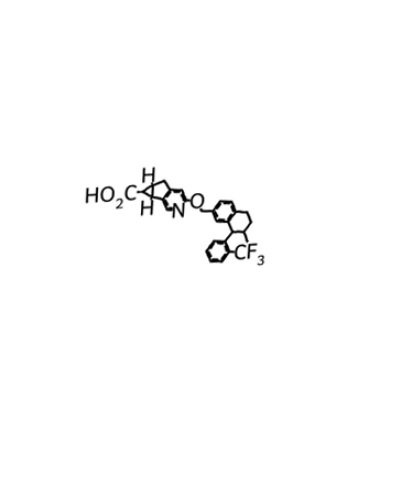 CC1CCc2ccc(COc3cc4c(cn3)[C@H]3[C@@H](C4)[C@@H]3C(=O)O)cc2C1c1ccccc1C(F)(F)F